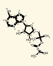 C[C@H](O)[PH](=O)OC(C)(C)C[C@H]1OC(n2cnc3c(S)ncnc32)[C@H](O)[C@@H]1O